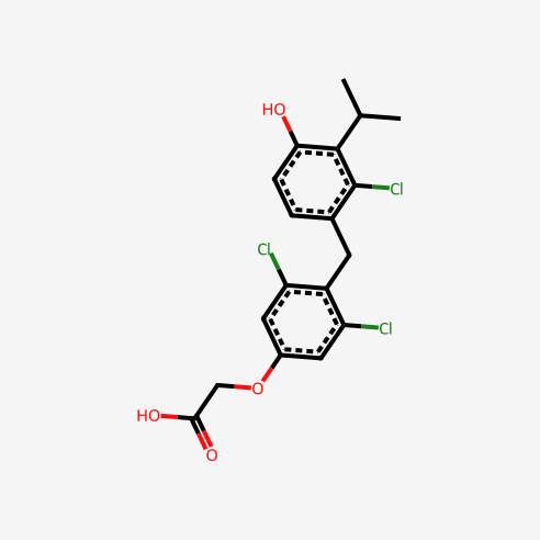 CC(C)c1c(O)ccc(Cc2c(Cl)cc(OCC(=O)O)cc2Cl)c1Cl